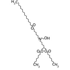 CCCCCCCCCCCCCCCC(=O)OCCCCCCN(CCO)CCCCC(COC(=O)CCCCCCC)COC(=O)CCCCCCC